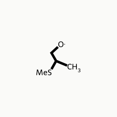 CSC(C)C[O]